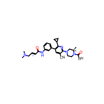 CCCC(=O)N1CCN(c2nc(C3CC3)c(-c3cccc(NC(=O)/C=C/CN(C)C)c3)cc2C#N)C[C@H]1C